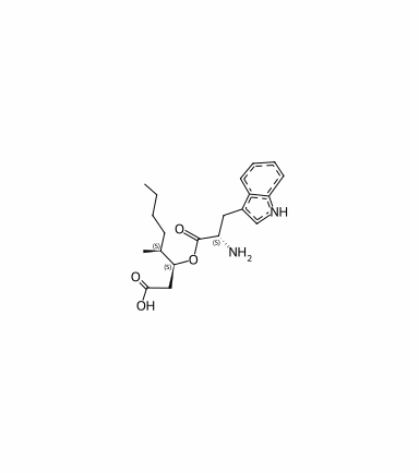 CCCC[C@H](C)[C@H](CC(=O)O)OC(=O)[C@@H](N)Cc1c[nH]c2ccccc12